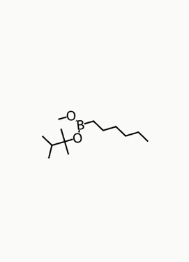 CCCCCCB(OC)OC(C)(C)C(C)C